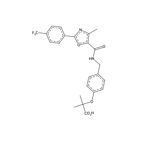 Cc1nc(-c2ccc(C(F)(F)F)cc2)oc1C(=O)NCc1ccc(OC(C)(C)C(=O)O)cc1